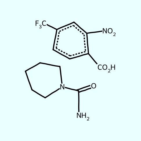 NC(=O)N1CCCCC1.O=C(O)c1ccc(C(F)(F)F)cc1[N+](=O)[O-]